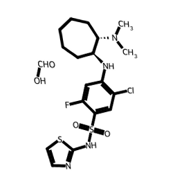 CN(C)[C@H]1CCCCC[C@@H]1Nc1cc(F)c(S(=O)(=O)Nc2nccs2)cc1Cl.O=CO